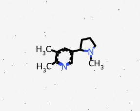 Cc1cc(C2CCCN2C)cnc1C